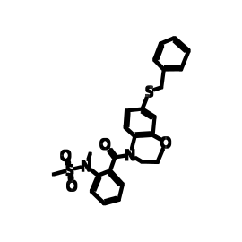 CN(c1ccccc1C(=O)N1CCOc2cc(SCc3ccccc3)ccc21)S(C)(=O)=O